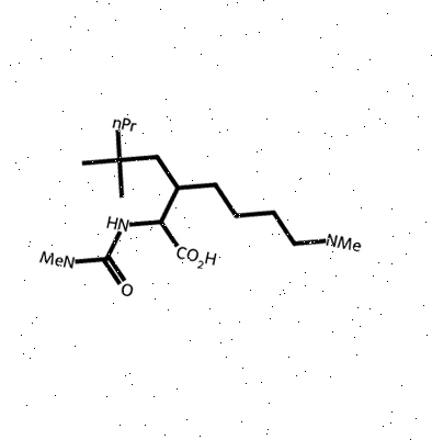 CCCC(C)(C)CC(CCCCNC)C(NC(=O)NC)C(=O)O